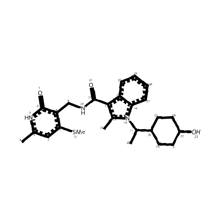 CSc1cc(C)[nH]c(=O)c1CNC(=O)c1c(C)n(C(C)C2CCC(O)CC2)c2ccccc12